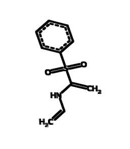 C=CNC(=C)S(=O)(=O)c1ccccc1